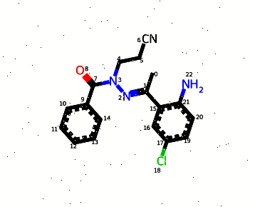 C/C(=N\N(CCC#N)C(=O)c1ccccc1)c1cc(Cl)ccc1N